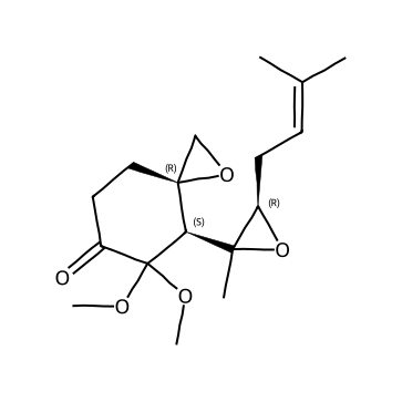 COC1(OC)C(=O)CC[C@]2(CO2)[C@H]1C1(C)O[C@@H]1CC=C(C)C